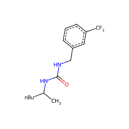 CCCCC(C)NC(=O)NCc1cccc(C(F)(F)F)c1